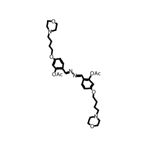 CC(=O)Oc1cc(OCCCCN2CCOCC2)ccc1/C=N/N=C/c1ccc(OCCCCN2CCOCC2)cc1OC(C)=O